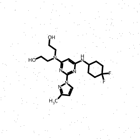 Cc1ccn(-c2nc(NC3CCC(F)(F)CC3)cc(N(CCO)CCO)n2)n1